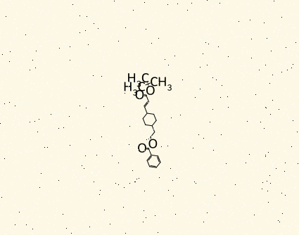 CC(C)(C)OC(=O)/C=C/C1CCC(CCOC(=O)c2ccccc2)CC1